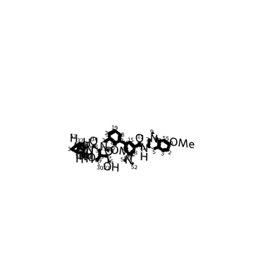 COc1ccc(C[C@@H](CN(C)C)NC(=O)c2cc(-c3cccc(CN4O[C@@H](CO)C([C@H](C)O)[C@H]4C(=O)N[C@H]4C[C@H]5C[C@@H]([C@@H]4C)C5(C)C)c3OC)cc(N(C)C)c2)cc1